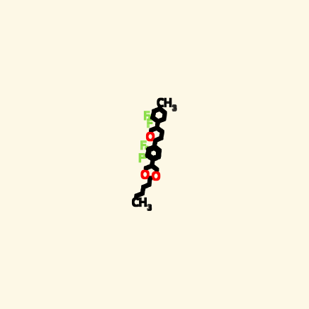 CCCCCC1OCC(c2ccc(C3CCC(C4CCC(C)CC4(F)F)CO3)c(F)c2F)CO1